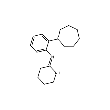 c1ccc(N2CCCCCC2)c(N=C2CCCCN2)c1